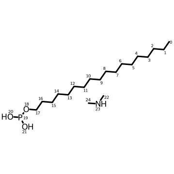 CCCCCCCCCCCCCCCCCCOP(O)O.CNC